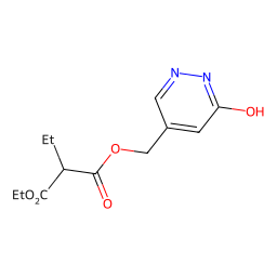 CCOC(=O)C(CC)C(=O)OCc1cnnc(O)c1